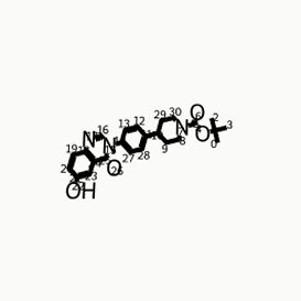 CC(C)(C)OC(=O)N1CCC(c2ccc(-n3cnc4ccc(O)cc4c3=O)cc2)CC1